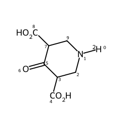 [2H]N1CC(C(=O)O)C(=O)C(C(=O)O)C1